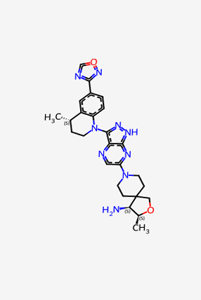 C[C@@H]1OCC2(CCN(c3cnc4c(N5CC[C@H](C)c6cc(-c7ncon7)ccc65)n[nH]c4n3)CC2)[C@@H]1N